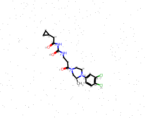 C[C@H]1CN(C(=O)CCNC(=O)NC(=O)CC2CC2)CCN1c1ccc(Cl)c(Cl)c1